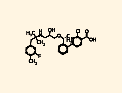 Cc1ccc(CC(C)(C)NC[C@@H](O)CO[C@H](C)c2ccccc2-c2ccc(C(=O)O)c(Cl)n2)cc1F